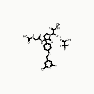 CC(C(=O)NO)N1CCC(NC(=O)CNC(=O)O)(c2ccc(OCc3cc(Cl)nc(Cl)c3)cc2)C1=O.O=C(O)C(F)(F)F